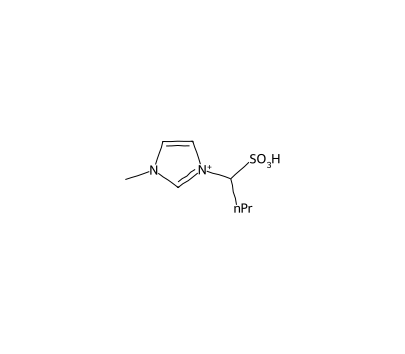 CCCC([n+]1ccn(C)c1)S(=O)(=O)O